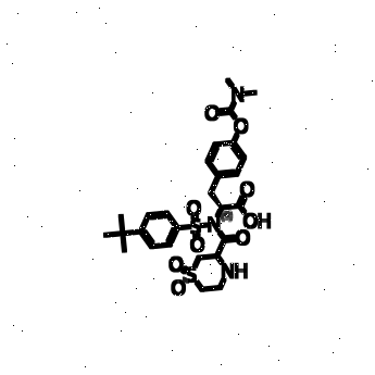 CN(C)C(=O)Oc1ccc(C[C@@H](C(=O)O)N(C(=O)C2CS(=O)(=O)CCN2)S(=O)(=O)c2ccc(C(C)(C)C)cc2)cc1